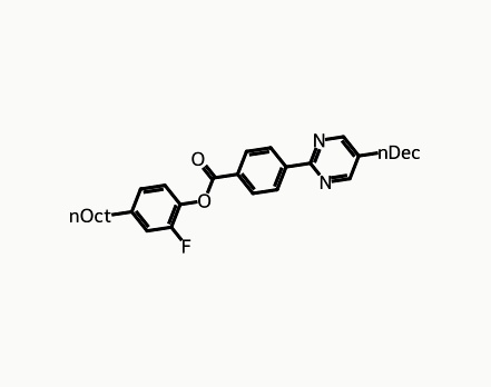 CCCCCCCCCCc1cnc(-c2ccc(C(=O)Oc3ccc(CCCCCCCC)cc3F)cc2)nc1